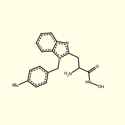 CC(C)(C)c1ccc(Cn2c(CC(N)C(=O)NO)nc3ccccc32)cc1